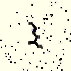 CC(=O)N/N=C/S